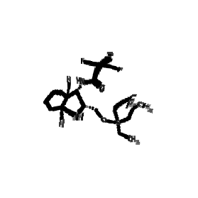 CC[Si](CC)(CC)OC[C@@H]1N[C@@H]2CCC[C@@H]2[C@@H]1NC(=O)C(F)(F)F